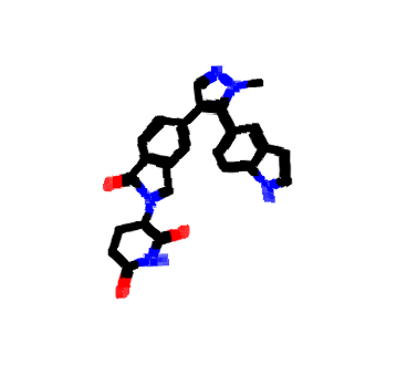 Cn1ncc(-c2ccc3c(c2)CN(C2CCC(=O)NC2=O)C3=O)c1-c1ccc2[nH]ccc2c1